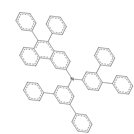 c1ccc(-c2cc(-c3ccccc3)cc(N(c3ccc(-c4ccccc4)c(-c4ccccc4)c3)c3ccc4c(-c5ccccc5)c(-c5ccccc5)c5ccccc5c4c3)c2)cc1